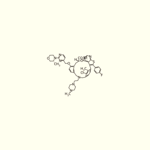 CCOC(=O)[C@H]1Cc2cc(ccc2OCc2ccnc(N3CCOC[C@H]3C)n2)CN(CCN2CCN(C)CC2)Cc2ccc(c(C)c2Cl)-c2c(-c3ccc(F)cc3)sc3ncnc(c23)O1